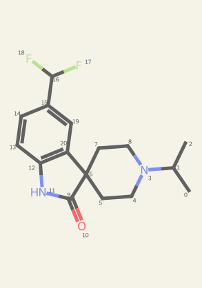 CC(C)N1CCC2(CC1)C(=O)Nc1ccc(C(F)F)cc12